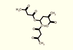 C=C(CC(OC(=O)CC(C)=O)OC(=O)CC(C)=O)C(=O)O